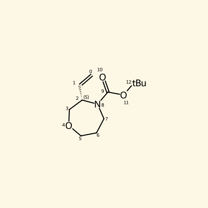 C=C[C@H]1COCCCN1C(=O)OC(C)(C)C